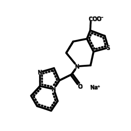 O=C([O-])c1csc2c1CCN(C(=O)c1cnc3ccccn13)C2.[Na+]